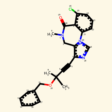 CN1Cc2c(C#CC(C)(C)OCc3ccccc3)ncn2-c2cccc(Cl)c2C1=O